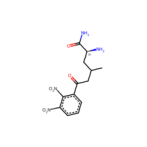 CC(CC(=O)c1cccc([N+](=O)[O-])c1[N+](=O)[O-])C[C@H](N)C(N)=O